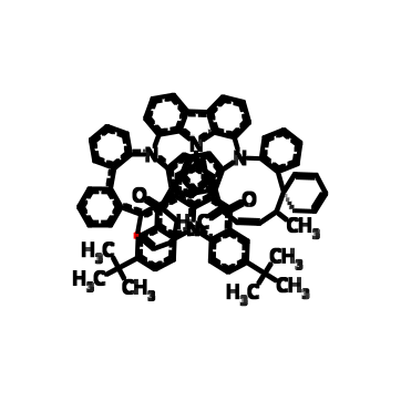 C=C1/C=C\C(C)[C@]2(C=CC=CC2)c2ccccc2N(c2cccc3c4cccc(-n5c6ccccc6c6c(c7ccccc7c7ccccc75)C=CCC6)c4n(-c4cc5c(=O)c6cc(C(C)(C)C)ccc6n6c7ccc(C(C)(C)C)cc7c(=O)c(c4)c56)c23)c2ccccc21